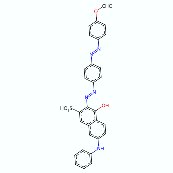 O=COc1ccc(N=Nc2ccc(N=Nc3c(S(=O)(=O)O)cc4cc(Nc5ccccc5)ccc4c3O)cc2)cc1